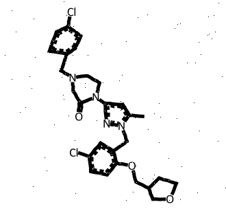 Cc1cc(N2CCN(Cc3ccc(Cl)cc3)CC2=O)nn1Cc1cc(Cl)ccc1OCC1CCOC1